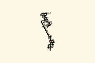 CCc1c(F)ccc2cc(O)cc(-c3ncc4c(N5CCCC(CNC(=O)CCCCCCCCCCC(=O)NCc6ccc7c8c(cccc68)C(=O)N7C6CCC(=O)NC6=O)C5)nc(OC[C@@]56CCCN5C[C@H](F)C6)nc4c3F)c12